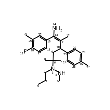 CCCN(NC)C(C)(C)CC(/C(C)=C(/N)c1ccc(F)c(C)c1)c1ccc(C)cc1